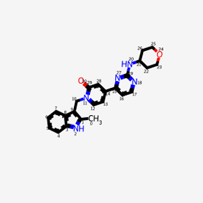 Cc1[nH]c2ccccc2c1Cn1ccc(-c2ccnc(NC3CCOCC3)n2)cc1=O